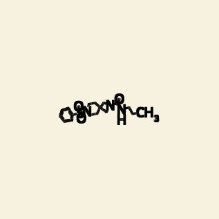 CCCNC(=O)N1CC2(CCN(S(=O)(=O)c3ccccc3)CC2)C1